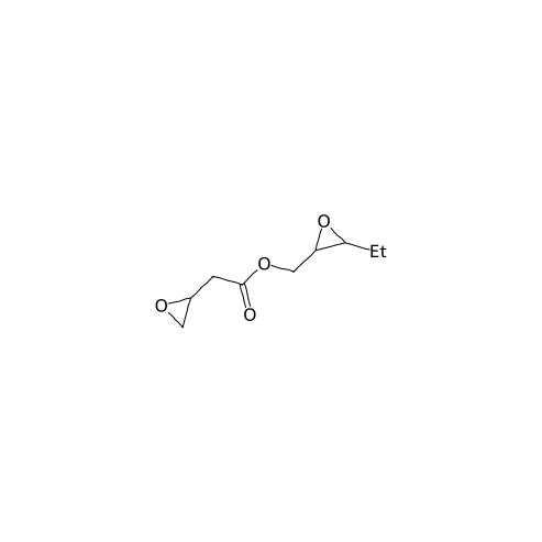 CCC1OC1COC(=O)CC1CO1